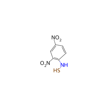 O=[N+]([O-])c1ccc(NS)c([N+](=O)[O-])c1